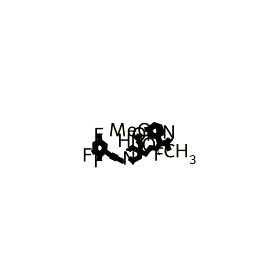 COc1ccc2ncc(C)c([C@H](F)CCC3(C(=O)NO)CCN(CC#Cc4cc(F)cc(F)c4F)CC3)c2c1